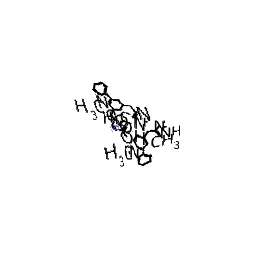 Cc1[nH]cnc1CC1Cc2c(n(C)c3ccccc23)C(OC(=O)/C=C\C(=O)OC2CC(Cc3nc[nH]c3C)Cc3c2n(C)c2ccccc32)C1